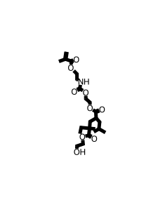 C=C(C)C(=O)OCCNC(=O)OCCOC(=O)C(CC(C)C)CC(C)(CC)C(=O)OCCO